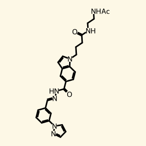 CC(=O)NCCNC(=O)CCCn1ccc2cc(C(=O)N/N=C/c3cccc(-n4cccn4)c3)ccc21